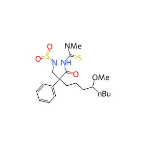 CCCCC(CCCC(CN=S(=O)=O)(C(=O)NC(=S)NC)c1ccccc1)OC